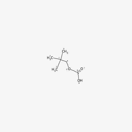 CC(C)(C)COS(=O)O